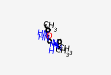 CCc1cccc(NC(=O)N[C@H]2CC[C@@H](Nc3nc4c(c(N(C)C)n3)CCCC4)CC2)c1